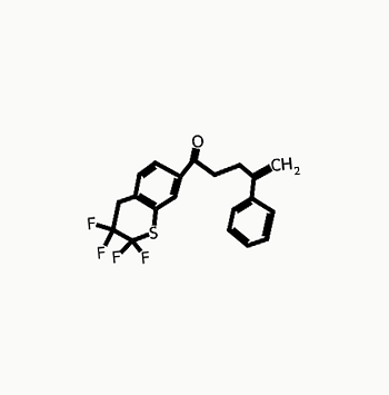 C=C(CCC(=O)c1ccc2c(c1)SC(F)(F)C(F)(F)C2)c1ccccc1